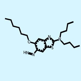 CCCCCCOc1cc2nc(N(CCCC)CCCC)sc2cc1N=N